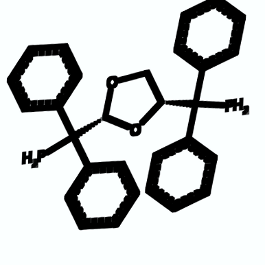 PC(c1ccccc1)(c1ccccc1)[C@@H]1OC[C@H](C(P)(c2ccccc2)c2ccccc2)O1